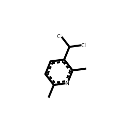 Cc1ccc(C(Cl)Cl)c(C)n1